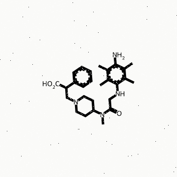 Cc1c(C)c(NCC(=O)N(C)C2CCN(CC(C(=O)O)c3ccccc3)CC2)c(C)c(C)c1N